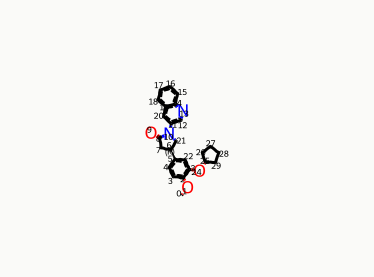 COc1ccc([C@H]2CC(=O)N(c3cnc4ccccc4c3)C2)cc1OC1CCCC1